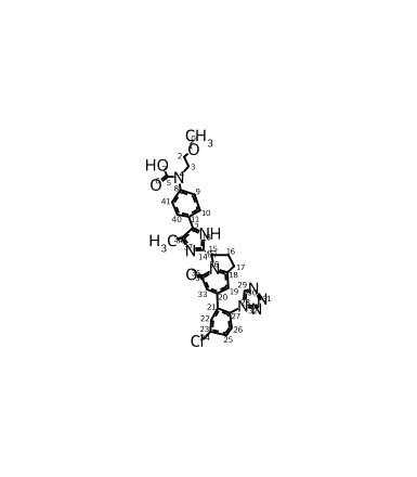 COCCN(C(=O)O)c1ccc(-c2[nH]c([C@@H]3CCc4cc(-c5cc(Cl)ccc5-n5cnnn5)cc(=O)n43)nc2C)cc1